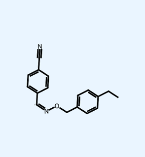 CCc1ccc(CO/N=[C]\c2ccc(C#N)cc2)cc1